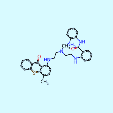 Cc1ccc(NCCN(C)CCNc2ccccc2C(=O)Nc2ccccc2N)c2c(=O)c3ccccc3sc12